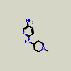 CN1CCC(Nc2ccc(N)cn2)CC1